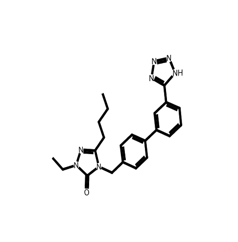 CCCCc1nn(CC)c(=O)n1Cc1ccc(-c2cccc(-c3nnn[nH]3)c2)cc1